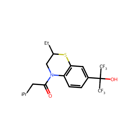 CCC1CN(C(=O)CC(C)C)c2ccc(C(O)(C(F)(F)F)C(F)(F)F)cc2S1